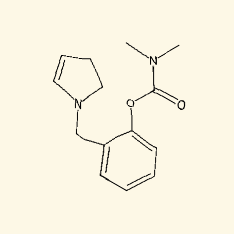 CN(C)C(=O)Oc1ccccc1CN1C=CCC1